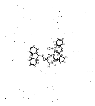 C[C@H](NC(=O)OCC1c2ccccc2-c2ccccc21)C(=O)N1CCC[C@@H]1C(=O)Sc1ccccc1C=O